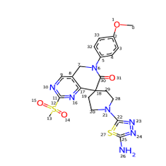 COc1ccc(N2Cc3cnc(S(C)(=O)=O)nc3C3(CCN(c4nnc(N)s4)CC3)C2=O)cc1